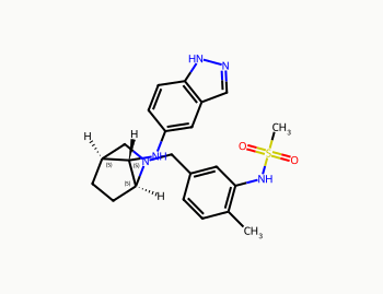 Cc1ccc(CN2C[C@@H]3CC[C@H]2[C@H]3Nc2ccc3[nH]ncc3c2)cc1NS(C)(=O)=O